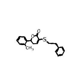 Cc1ccccc1C1CC=C(SCCc2ccccc2)C(=O)O1